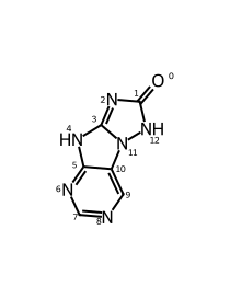 O=c1nc2[nH]c3ncncc3n2[nH]1